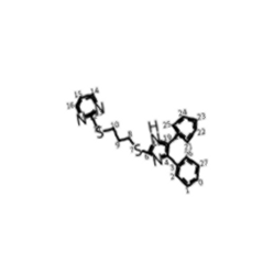 c1ccc(-c2nc(SCCCSc3ncccn3)[nH]c2-c2ccccc2)cc1